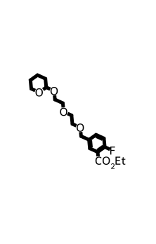 CCOC(=O)c1cc(COCCOCCOC2CCCCO2)ccc1F